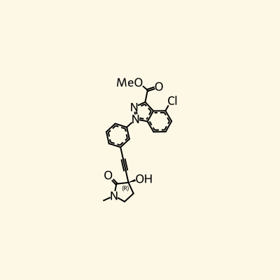 COC(=O)c1nn(-c2cccc(C#C[C@]3(O)CCN(C)C3=O)c2)c2cccc(Cl)c12